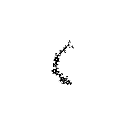 CC(C)OCCC(=O)NCCNC(=O)c1ccc(-c2cn(Cc3cccc4c3CN(C(=O)C[C@@H]3C[C@@H](C(=O)N5C[C@@H](F)C[C@H]5C#N)NC3=O)C4)nn2)cc1